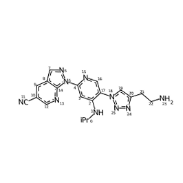 CC(C)Nc1cc(-n2ncc3cc(C#N)cnc32)ncc1-n1cc(CCN)nn1